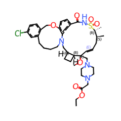 CCOC(=O)CN1CCN(C[C@]2(OC)/C=C/C[C@H](C)[C@@H](C)S(=O)(=O)NC(=O)c3ccc4c(c3)N(CCCCc3cc(Cl)ccc3CO4)C[C@@H]3CC[C@H]32)CC1